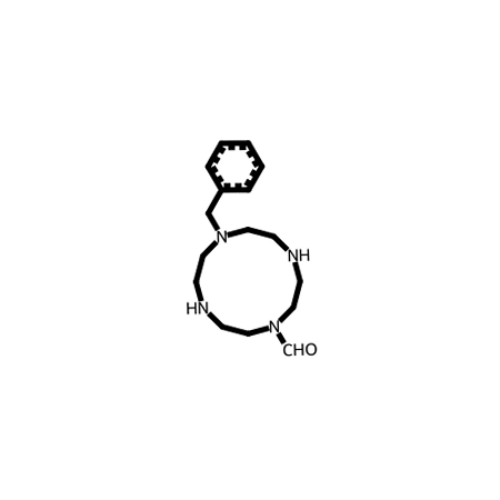 O=CN1CCNCCN(Cc2ccccc2)CCNCC1